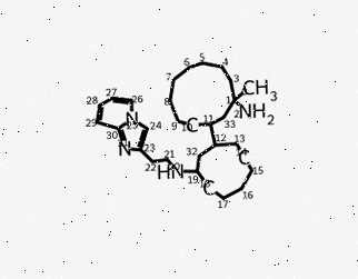 CC1(N)CCCCCCCCC(C2CCCCCCC(NCCc3cn4ccccc4n3)C2)C1